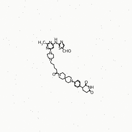 Cc1nc(Nc2ncc(C=O)s2)cc(N2CCN(CCCCC(=O)N3CCC4(CC3)CCN(c3ccc(C5CCC(=O)NC5=O)cc3)CC4)CC2)n1